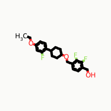 CCOc1ccc(C2CCC(OCc3ccc(CO)c(F)c3F)CC2)c(F)c1